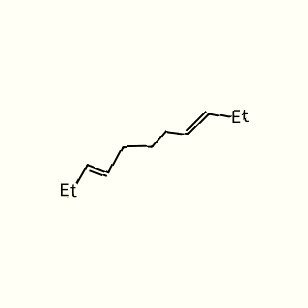 [CH2]CC=CCCCC=CCC